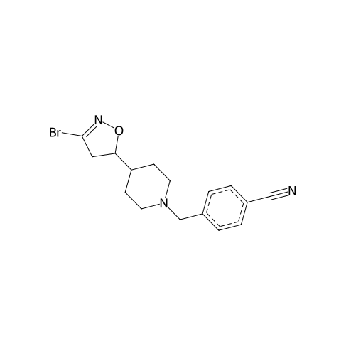 N#Cc1ccc(CN2CCC(C3CC(Br)=NO3)CC2)cc1